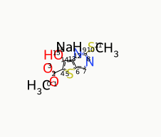 COC(=O)c1sc2cnc(SC)nc2c1O.[NaH]